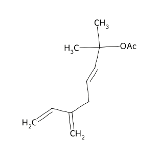 C=CC(=C)CC=CC(C)(C)OC(C)=O